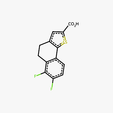 O=C(O)c1cc2c(s1)-c1ccc(F)c(F)c1CC2